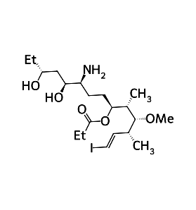 CCC(=O)O[C@@H](CC[C@H](N)[C@@H](O)C[C@H](O)CC)[C@H](C)[C@H](OC)[C@H](C)/C=C/I